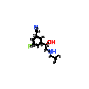 CC(C)CNCC(O)c1cc(F)cc(C#N)c1